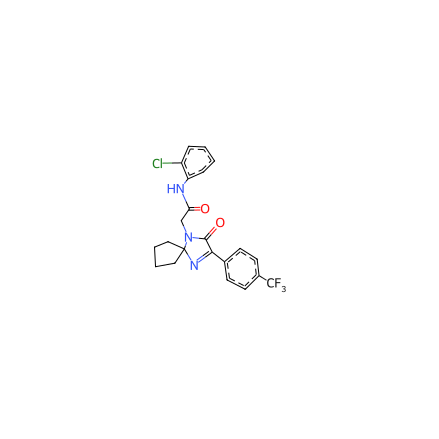 O=C(CN1C(=O)C(c2ccc(C(F)(F)F)cc2)=NC12CCCC2)Nc1ccccc1Cl